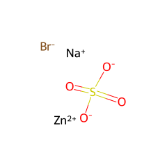 O=S(=O)([O-])[O-].[Br-].[Na+].[Zn+2]